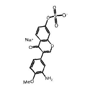 COc1ccc(-c2coc3cc(OS(=O)(=O)[O-])ccc3c2=O)cc1N.[Na+]